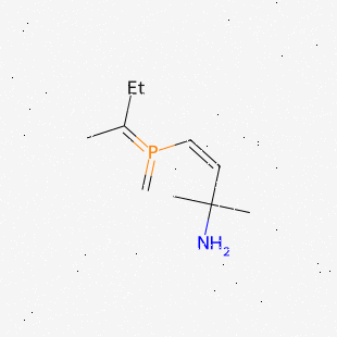 C=P(/C=C\C(C)(C)N)=C(\C)CC